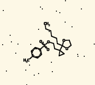 CCCCCCC1(C2(CCOS(=O)(=O)c3ccc(C)cc3)CC2)OCCO1